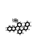 Br.Br.c1ccc(-c2ccccc2-c2ccc3ccccc3n2)c(-c2ccc3ccccc3n2)c1